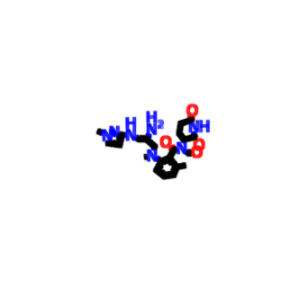 Cc1cccc(N(C)C/C(N)=C/Nc2ccn(C)n2)c1C(=O)N(C=O)C1CCC(=O)NC1=O